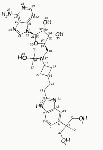 CC(CO)(CO)c1ccc2[nH]c(CCC3CC(N(C[C@H]4O[C@@H](n5cnc6c(N)ncnc65)[C@H](O)[C@@H]4O)C(C)(C)O)C3)nc2c1